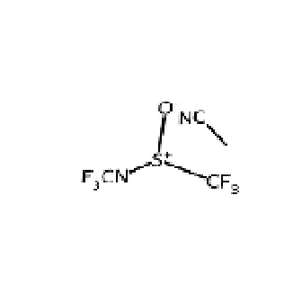 CC#N.[O-][S+](NC(F)(F)F)C(F)(F)F